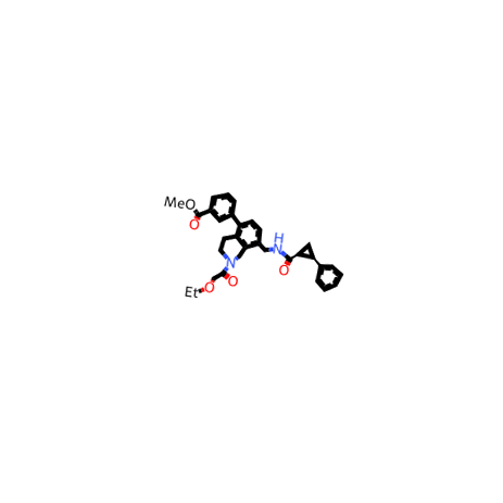 CCOCC(=O)N1CCc2c(-c3cccc(C(=O)OC)c3)ccc(CNC(=O)[C@H]3C[C@H]3c3ccccc3)c2C1